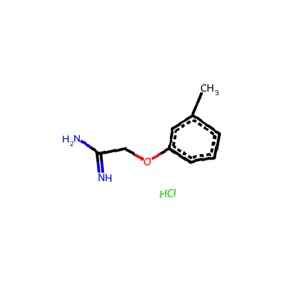 Cc1cccc(OCC(=N)N)c1.Cl